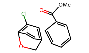 COC(=O)c1ccccc1.Clc1cc2ccc1OC2